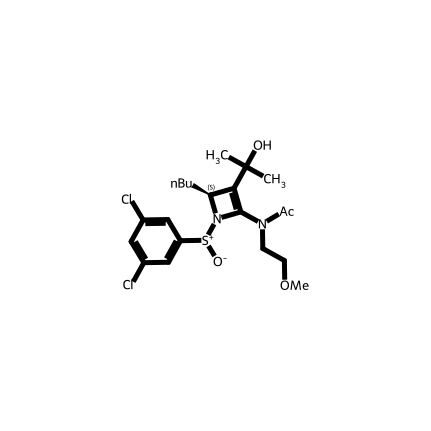 CCCC[C@H]1C(C(C)(C)O)=C(N(CCOC)C(C)=O)N1[S+]([O-])c1cc(Cl)cc(Cl)c1